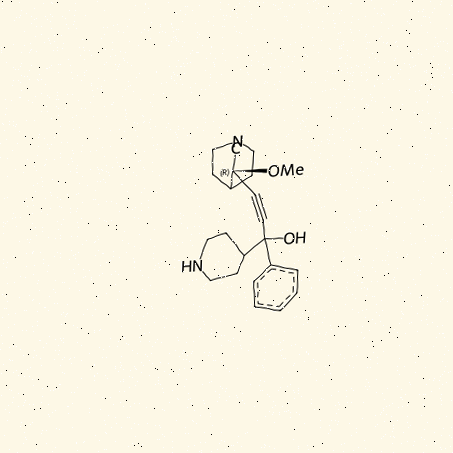 CO[C@]1(C#CC(O)(c2ccccc2)C2CCNCC2)CN2CCC1CC2